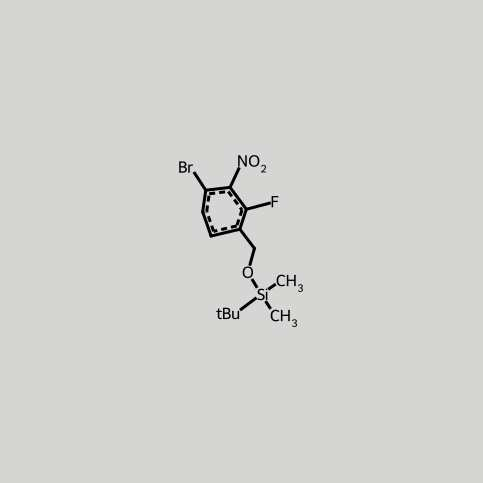 CC(C)(C)[Si](C)(C)OCc1ccc(Br)c([N+](=O)[O-])c1F